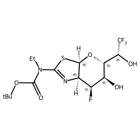 CCN(C(=O)OC(C)(C)C)C1=N[C@@H]2[C@H](F)[C@H](O)[C@@H]([C@@H](O)C(F)(F)F)O[C@@H]2S1